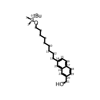 CC(C)(C)[Si](C)(C)OCCCCCCCCCc1ccc2ccc(CO)cc2c1